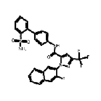 NS(=O)(=O)c1ccccc1-c1ccc(NC(=O)c2cc(C(F)(F)F)nn2-c2cc3ccccc3cc2F)cc1